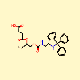 CC(COC(=O)NCCNC(c1ccccc1)(c1ccccc1)c1ccccc1)OC(=O)CCC(=O)O